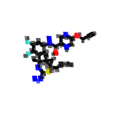 C#CCOc1cnc(C(=O)Nc2cc(F)c(F)c([C@@]3(C)N=C(N)S[C@@]4(CNC(C)=O)C[C@H]43)c2)cn1